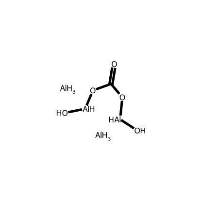 O=C([O][AlH][OH])[O][AlH][OH].[AlH3].[AlH3]